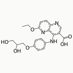 CCOc1ccc2ncc(C(=O)O)c(Nc3ccc(OCC(O)CO)cc3)c2n1